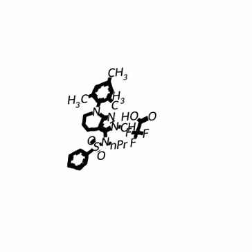 CCCN(c1c2c(nn1C)N(c1c(C)cc(C)cc1C)CCC2)S(=O)(=O)c1ccccc1.O=C(O)C(F)(F)F